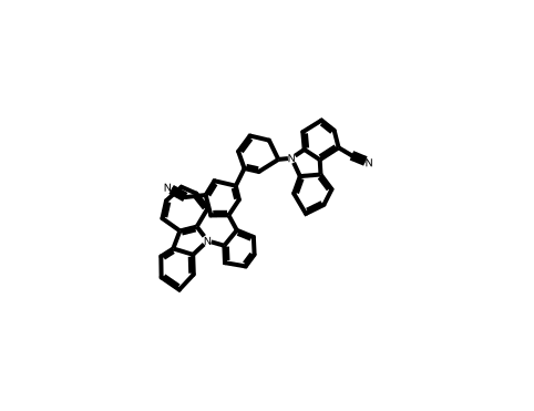 N#Cc1cc(C2=CC(n3c4ccccc4c4c(C#N)cccc43)CC=C2)cc(-c2ccccc2-n2c3c(c4ccccc42)C=CCC=C3)c1